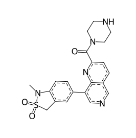 CN1c2ccc(-c3cncc4ccc(C(=O)N5CCNCC5)nc34)cc2CS1(=O)=O